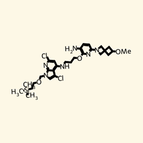 COC1CC2(C1)CN(c1ccc(N)c(OCCCNc3cc(Cl)nc4c3c(Cl)cn4COCC[Si](C)(C)C)n1)C2